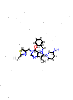 Cc1nc(Cn2cnc3c(C#N)c(N4CCCC(=N)C4)n(Cc4ccccc4)c3c2=O)cs1